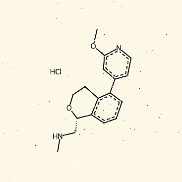 CNC[C@@H]1OCCc2c(-c3ccnc(OC)c3)cccc21.Cl